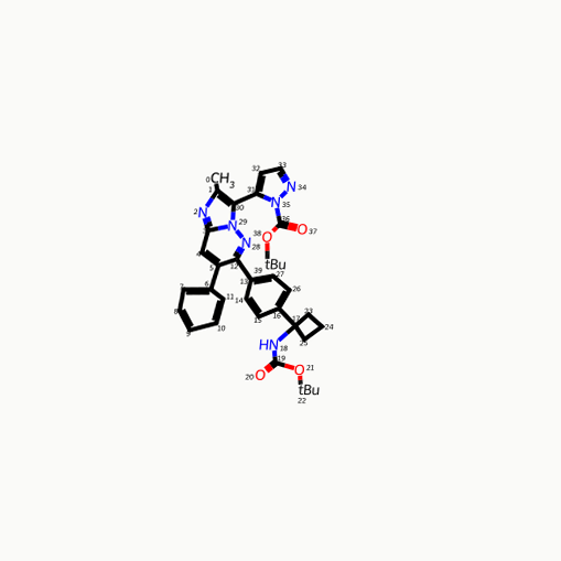 Cc1nc2cc(-c3ccccc3)c(-c3ccc(C4(NC(=O)OC(C)(C)C)CCC4)cc3)nn2c1-c1ccnn1C(=O)OC(C)(C)C